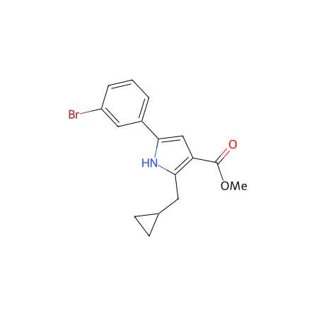 COC(=O)c1cc(-c2cccc(Br)c2)[nH]c1CC1CC1